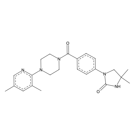 Cc1cnc(N2CCN(C(=O)c3ccc(N4CC(C)(C)NC4=O)cc3)CC2)c(C)c1